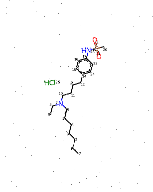 CCCCCCCN(CC)CCCCc1ccc(NS(C)(=O)=O)cc1.Cl